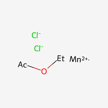 CCOC(C)=O.[Cl-].[Cl-].[Mn+2]